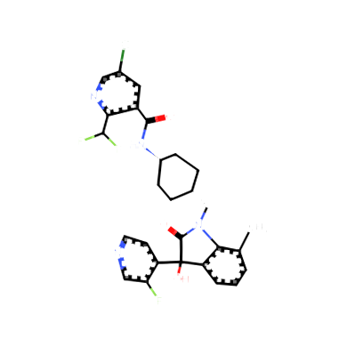 Cc1cccc2c1N(C[C@H]1CC[C@H](NC(=O)c3cc(Cl)cnc3C(F)F)CC1)C(=O)C2(O)c1ccncc1F